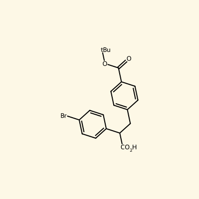 CC(C)(C)OC(=O)c1ccc(CC(C(=O)O)c2ccc(Br)cc2)cc1